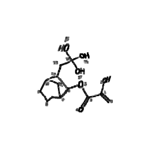 C=C(O)C(=O)OC1C2CCC(C2)C1CC(O)(O)O